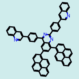 c1ccc2ncc(-c3ccc(-c4nc(-c5ccc(-c6cnc7ccccc7c6)cc5)c5cc(-c6ccc7ccc8cccc9ccc6c7c89)cc(-c6ccc7ccc8cccc9ccc6c7c89)c5n4)cc3)cc2c1